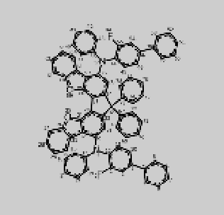 Fc1cc(-c2ccccc2)ccc1N(c1ccccc1)c1cc2c(c3oc4ccccc4c13)-c1c(cc(N(c3ccccc3)c3ccc(-c4ccccc4)cc3F)c3c1oc1ccccc13)C2(c1ccccc1)c1ccccc1